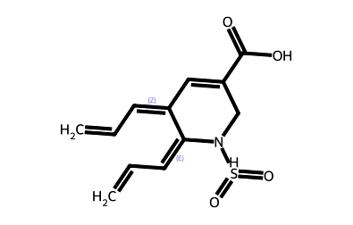 C=C/C=C1/C=C(C(=O)O)CN([SH](=O)=O)/C1=C/C=C